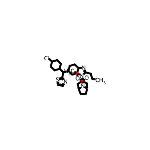 CCCC1=NC2CCC(C(c3nccs3)C3CCC(Cl)CC3)CC2N1C1CC2CCC(C1)N2C(=O)OCC